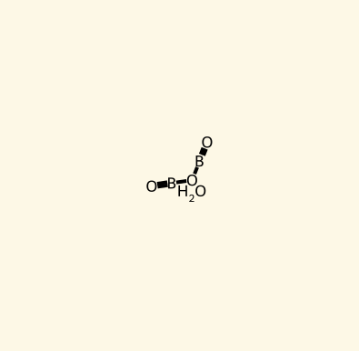 O.O=BOB=O